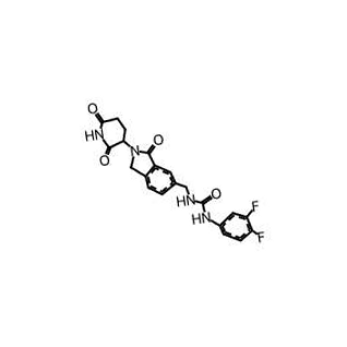 O=C1CCC(N2Cc3ccc(CNC(=O)Nc4ccc(F)c(F)c4)cc3C2=O)C(=O)N1